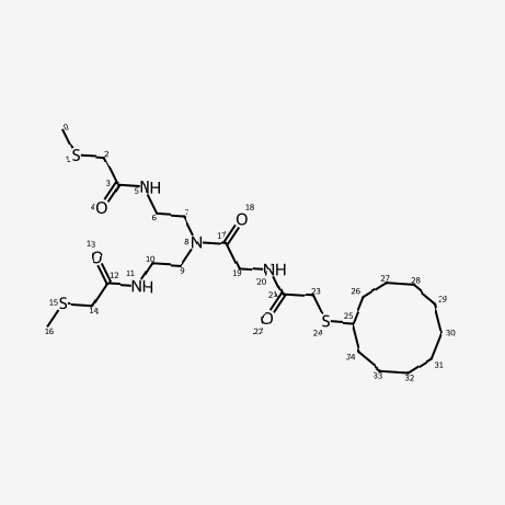 CSCC(=O)NCCN(CCNC(=O)CSC)C(=O)CNC(=O)CSC1CCCCCCCCC1